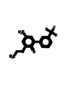 CCOc1cn(C)cc(-c2cccc(C(F)(F)F)c2)c1=S